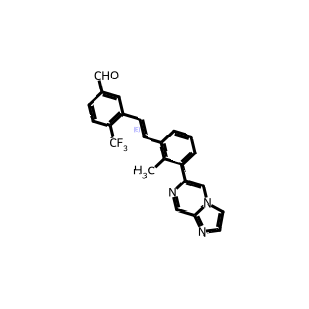 Cc1c(/C=C/c2cc(C=O)ccc2C(F)(F)F)cccc1-c1cn2ccnc2cn1